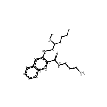 CCCCC(CNc1cc2ccccc2nc1C(=O)NCCCN)OC